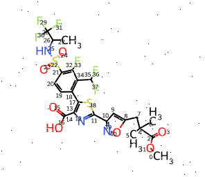 COC(=O)C(C)(C)Cc1cc(-c2nc(C(=O)O)c(-c3ccc(S(=O)(=O)NC(C)C(F)(F)F)c(F)c3C(F)F)s2)no1